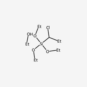 CCO.CCO[Si](OCC)(OCC)C(Cl)CC